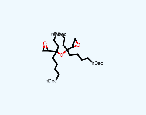 CCCCCCCCCCCCCCC(CCCCCCCCCCCC)(OC(CCCCCCCCCCCC)(CCCCCCCCCCCCCC)C1CO1)C1CO1